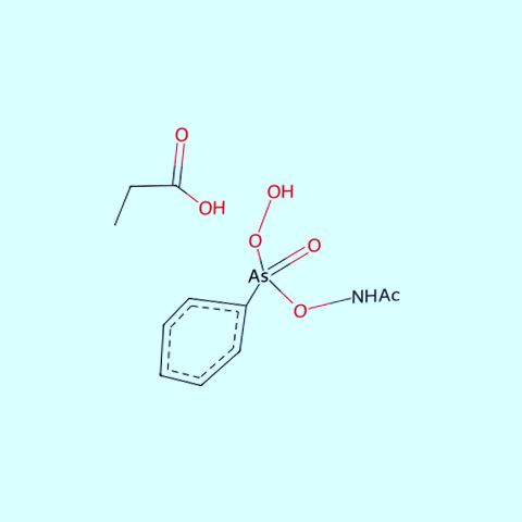 CC(=O)NO[As](=O)(OO)c1ccccc1.CCC(=O)O